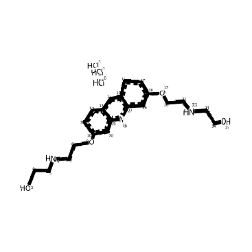 Cl.Cl.Cl.OCCNCCOc1ccc2cc3ccc(OCCNCCO)cc3nc2c1